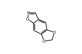 c1noc2cc3c(cc12)OCO3